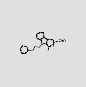 Cc1nc(C=O)cc2c3ccccc3n(CCCc3ccccc3)c12